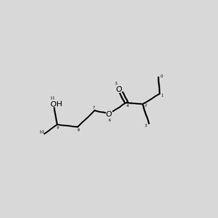 CCC(C)C(=O)OCCC(C)O